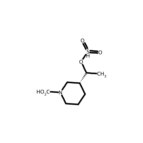 CC(O[SH](=O)=O)[C@@H]1CCCN(C(=O)O)C1